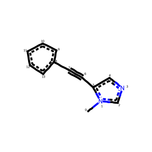 Cn1cncc1C#Cc1ccccc1